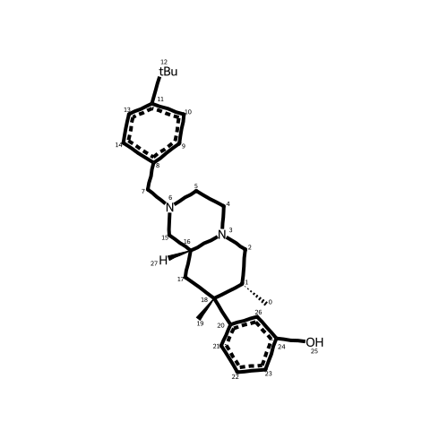 C[C@H]1CN2CCN(Cc3ccc(C(C)(C)C)cc3)C[C@H]2C[C@@]1(C)c1cccc(O)c1